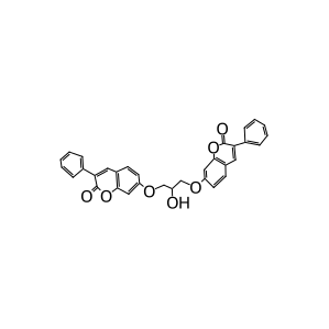 O=c1oc2cc(OCC(O)COc3ccc4cc(-c5ccccc5)c(=O)oc4c3)ccc2cc1-c1ccccc1